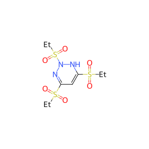 CCS(=O)(=O)C1=CC(S(=O)(=O)CC)=NN(S(=O)(=O)CC)N1